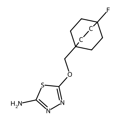 Nc1nnc(OCC23CCC(F)(CC2)CC3)s1